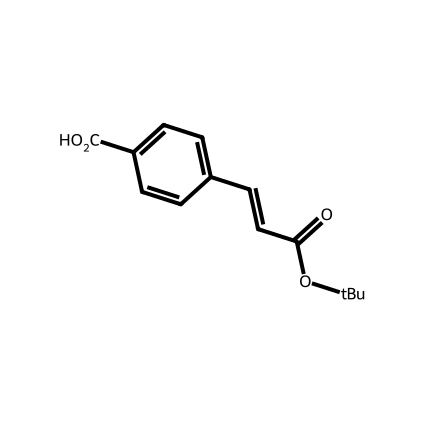 CC(C)(C)OC(=O)/C=C/c1ccc(C(=O)O)cc1